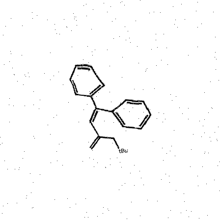 C=C(C=C(c1ccccc1)c1ccccc1)CC(C)(C)C